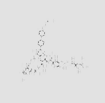 CCCCc1ccc(-c2ccc(C(=O)N[C@@H](CCCCNC(=O)OC(C)(C)C)C(=O)N[C@H](C(=O)N[C@@H](N)C(=O)N[C@@H](CCCCNC(=O)OC(C)(C)C)C(=O)O)[C@@H](C)OCC(C)C)cc2)cc1